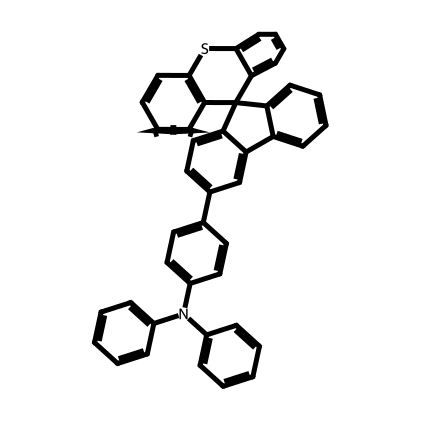 c1ccc(N(c2ccccc2)c2ccc(-c3ccc4c(c3)-c3ccccc3C43c4ccccc4Sc4ccc5ccccc5c43)cc2)cc1